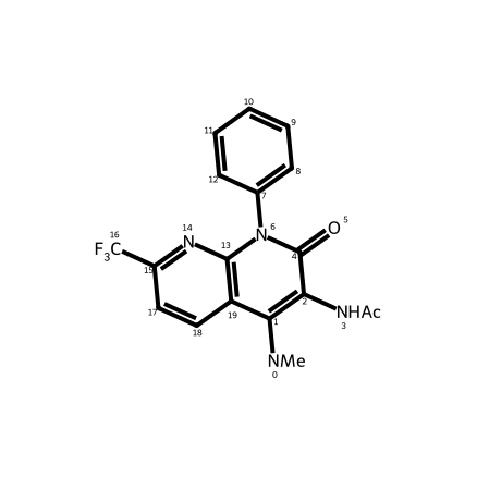 CNc1c(NC(C)=O)c(=O)n(-c2ccccc2)c2nc(C(F)(F)F)ccc12